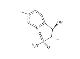 Cc1ccc([C@@H](O)[C@H](C)S(N)(=O)=O)nc1